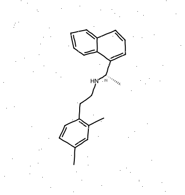 Cc1ccc(CCN[C@@H](C)c2cccc3ccccc23)c(C)c1